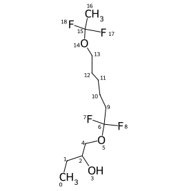 CCC(O)COC(F)(F)CCCCCOC(C)(F)F